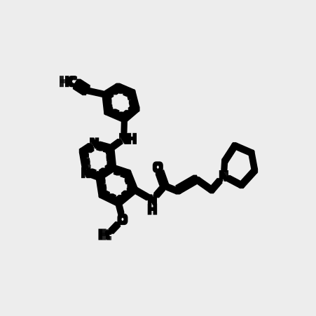 C#Cc1cccc(Nc2ncnc3cc(OCC)c(NC(=O)C=CCN4CCCCC4)cc23)c1